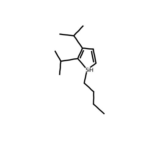 CCCC[SiH]1C=CC(C(C)C)=C1C(C)C